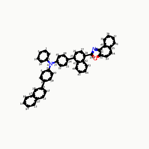 c1ccc(N(c2ccc(-c3ccc4ccccc4c3)cc2)c2ccc(-c3ccc(-c4nc5c(ccc6ccccc65)o4)c4ccccc34)cc2)cc1